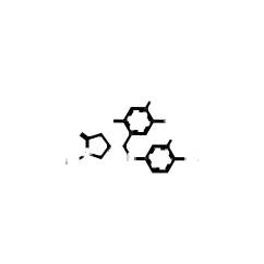 CCC(C)N1C[C@@H](C(Nc2ccc(C#N)c(Cl)c2)c2cc(F)c(F)cc2F)CC1=O